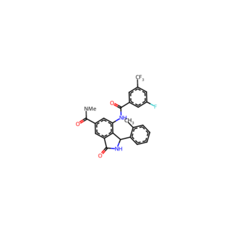 CNC(=O)c1cc(NC(=O)c2cc(F)cc(C(F)(F)F)c2)c2c(c1)C(=O)NC2c1ccccc1C